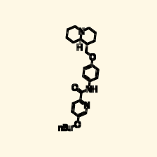 CCCCOc1ccc(C(=O)Nc2ccc(OC[C@@H]3CCCN4CCCC[C@H]34)cc2)nc1